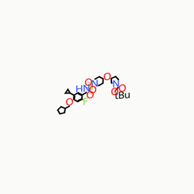 CC(C)(C)OC(=O)N1CC[C@@H](OC2CCN(S(=O)(=O)NC(=O)c3cc(C4CC4)c(OCC4CCCC4)cc3F)CC2)C1